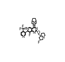 Fc1c(-c2cnccc2C(F)(F)F)ncc2c(N3CC4CCC(C3)N4)nc(OC[C@@]34CCCN3C[C@H](F)C4)nc12